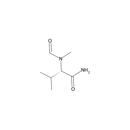 CC(C)[C@@H](C(N)=O)N(C)C=O